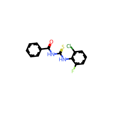 O=C(NC(=S)Nc1c(F)cccc1Cl)c1ccccc1